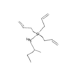 C=CC[Si](CC=C)(CC=C)NC(C)CC